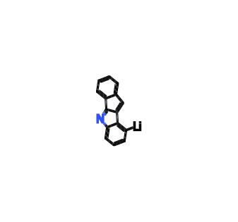 [Li][c]1cccc2c1C1=Cc3ccccc3C1=N2